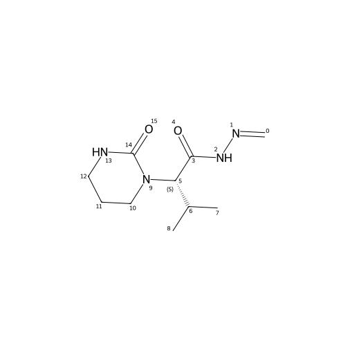 C=NNC(=O)[C@H](C(C)C)N1CCCNC1=O